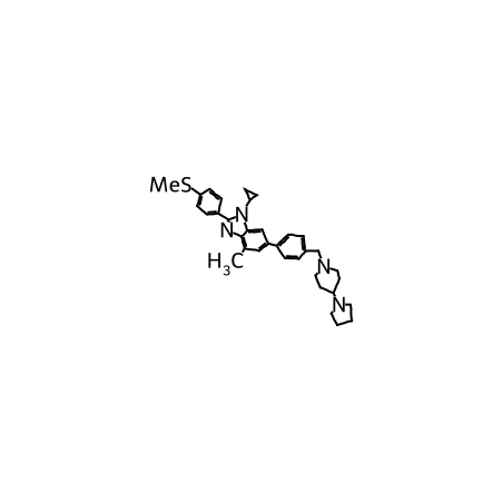 CSc1ccc(-c2nc3c(C)cc(-c4ccc(CN5CCC(N6CCCC6)CC5)cc4)cc3n2C2CC2)cc1